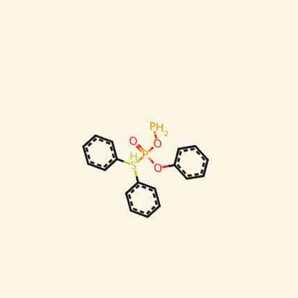 O=P(OP)(Oc1ccccc1)[SH](c1ccccc1)c1ccccc1